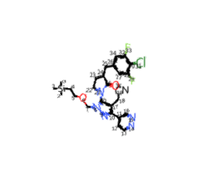 C[Si](C)(C)CCOCn1nc(-c2ccnnc2)c(CC#N)c1N1CCC(Cc2cc(F)c(Cl)c(F)c2)C1=O